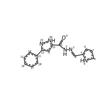 O=C(N/N=C/c1ccc[nH]1)c1cc(-c2ccccc2)n[nH]1